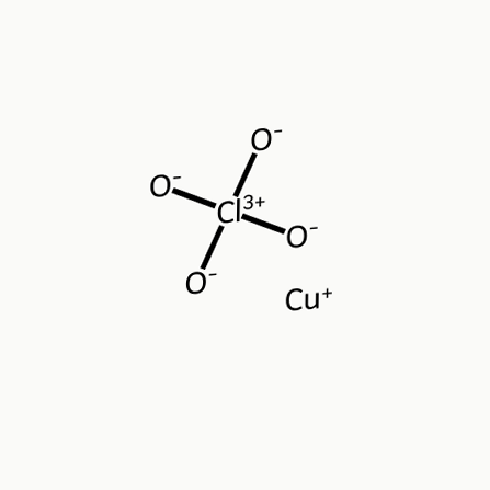 [Cu+].[O-][Cl+3]([O-])([O-])[O-]